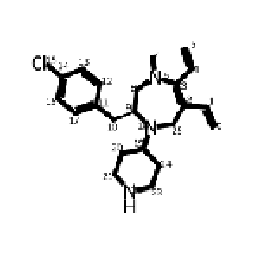 C=CC1=C(C=C)N(C)C[C@H](Cc2ccc(Cl)cc2)N(C2CCNCC2)C1